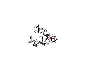 CC(C)C(=O)N1C2CC1CN(c1cc(S(=O)(=O)NC3(C#N)CC3)cc3c1cnn3-c1nnc(C(F)F)s1)C2